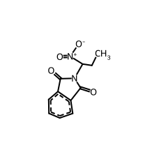 CCC(N1C(=O)c2ccccc2C1=O)[N+](=O)[O-]